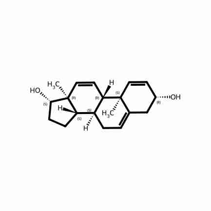 C[C@]12C=C[C@H]3[C@@H](CC=C4C[C@@H](O)C=C[C@@]43C)[C@@H]1CC[C@@H]2O